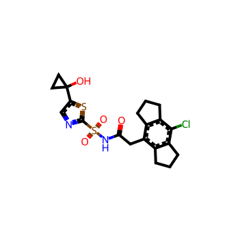 O=C(Cc1c2c(c(Cl)c3c1CCC3)CCC2)NS(=O)(=O)c1ncc(C2(O)CC2)s1